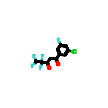 O=C(CC(=O)C(F)(F)C(F)F)c1cc(F)cc(Cl)c1